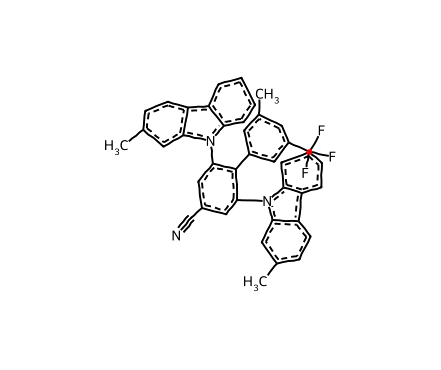 Cc1cc(-c2c(-n3c4ccccc4c4ccc(C)cc43)cc(C#N)cc2-n2c3ccccc3c3ccc(C)cc32)cc(C(F)(F)F)c1